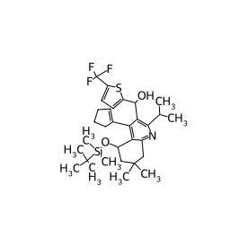 CC(C)c1nc2c(c(C3=CCCC3)c1C(O)c1ccc(C(F)(F)F)s1)C(O[Si](C)(C)C(C)(C)C)CC(C)(C)C2